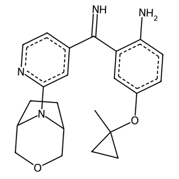 CC1(Oc2ccc(N)c(C(=N)c3ccnc(N4C5CCC4COC5)c3)c2)CC1